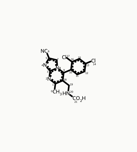 Cc1nc2nc(C#N)cn2c(-c2ccc(Cl)cc2Cl)c1CNC(=O)O